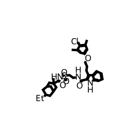 CCC1CC2CC(C1)CC(C)(C(=O)NS(=O)(=O)CCNC(=O)c1[nH]c3ccccc3c1CCCOc1cc(C)c(Cl)c(C)c1)C2